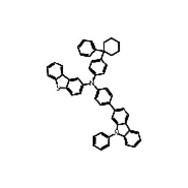 c1ccc(-n2c3ccccc3c3ccc(-c4ccc(N(c5ccc(C6(c7ccccc7)CCCCC6)cc5)c5ccc6sc7ccccc7c6c5)cc4)cc32)cc1